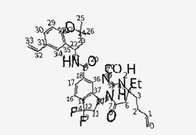 C=CCCC1(CC)CC(=O)N([C@@H]2CC(F)(F)c3ccc(C(=O)NC4CC(C)(C)Oc5ccc(C=C)cc54)cc32)C(=NC(=O)O)N1